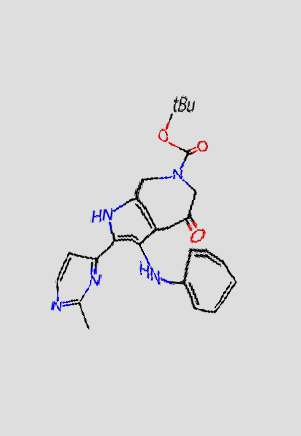 Cc1nccc(-c2[nH]c3c(c2Nc2ccccc2)C(=O)CN(C(=O)OC(C)(C)C)C3)n1